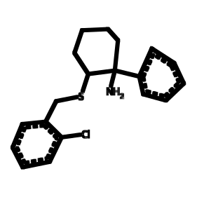 NC1(c2ccccc2)CCCCC1SCc1ccccc1Cl